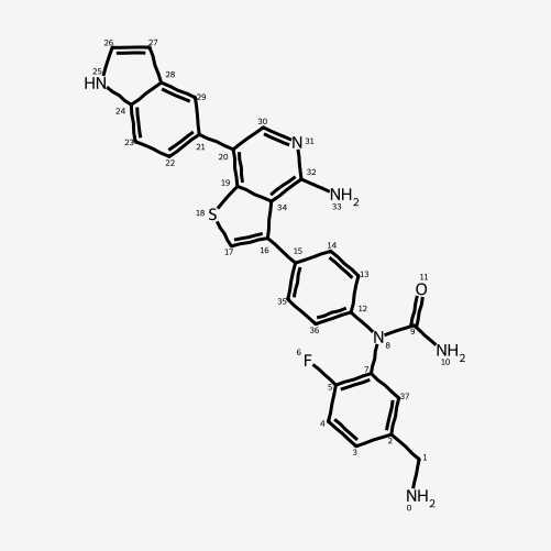 NCc1ccc(F)c(N(C(N)=O)c2ccc(-c3csc4c(-c5ccc6[nH]ccc6c5)cnc(N)c34)cc2)c1